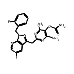 NC(=O)Oc1c(N)nc(Cc2nn(Cc3ccccc3F)c3ncc(F)cc23)nc1N